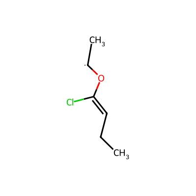 C[CH]O/C(Cl)=C/CC